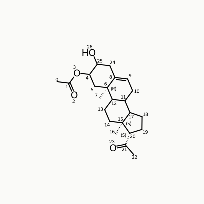 CC(=O)OC1C[C@@]2(C)C(=CCC3C2CC[C@@]2(C)C3CC[C@@H]2C(C)=O)CC1O